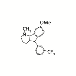 COc1ccc2c(c1)C1C(CCCN1C)C2c1cccc(C(F)(F)F)c1